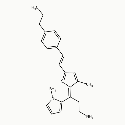 Bn1cccc1/C(CCN)=C1N=C(/C=C/c2ccc(CCC)cc2)C=C\1C